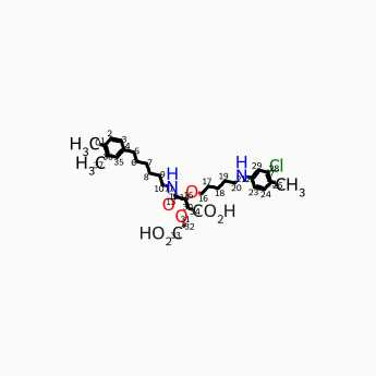 Cc1ccc(CCCCCCNC(=O)C(OCCCCCNc2ccc(C)c(Cl)c2)C(OCC(=O)O)C(=O)O)cc1C